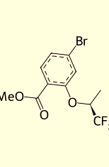 COC(=O)c1ccc(Br)cc1O[C@@H](C)C(F)(F)F